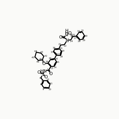 O=C(NS(=O)(=O)Cc1ccccc1)c1ccc(-c2ccc(CCN(C[C@H](O)c3ccccc3)C(=O)O)cc2)cc1OC1CCCCC1